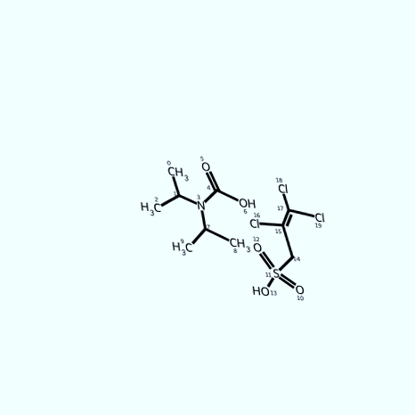 CC(C)N(C(=O)O)C(C)C.O=S(=O)(O)CC(Cl)=C(Cl)Cl